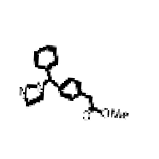 COC(=O)Cc1ccc(C(c2ccccc2)n2ccnc2)cc1